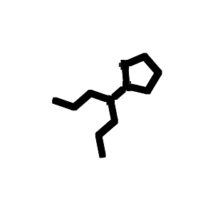 CCCN(CCC)N1CCC[N]1